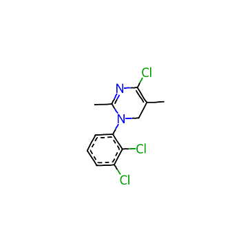 CC1=NC(Cl)=C(C)CN1c1cccc(Cl)c1Cl